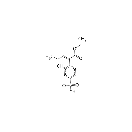 CCOC(=O)/C(=C/C(C)C)c1ccc(S(C)(=O)=O)cc1